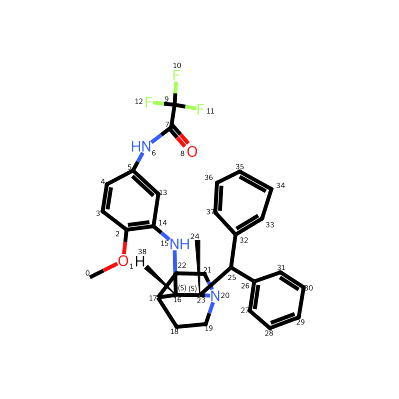 COc1ccc(NC(=O)C(F)(F)F)cc1N[C@H]1C2CCN(CC2)[C@@]1(C)C(c1ccccc1)c1ccccc1